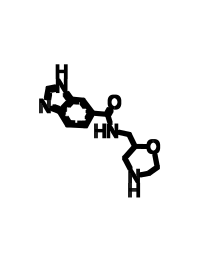 O=C(NCC1CNCCO1)c1ccc2nc[nH]c2c1